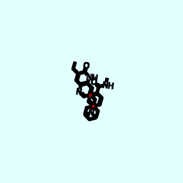 CCc1cc2ncc(CN3CC4CC(C3)N4c3ccc(C(=O)NC)nc3)cc2[nH]c1=O